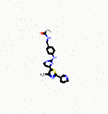 CC(=O)NCc1ccc(Nc2nccc(-c3sc(-c4cccnc4)nc3C)n2)cc1